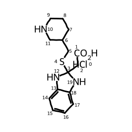 Cl.O=C(O)CC1(SCC2CCCNC2)Nc2ccccc2N1